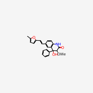 COC1C(=O)Nc2ccc(C=Cc3ccc(C)o3)cc2C1(O)c1ccccc1